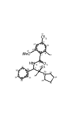 CCC(C)(C(NC(=O)c1c(C)cc(C(F)(F)F)cc1OC)c1ccccc1)N1CCCC1